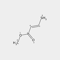 COC(=O)C=C[SiH3]